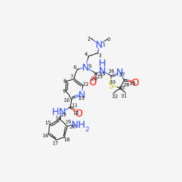 CN(C)CCN(Cc1ccc(C(=O)Nc2ccccc2N)nc1)C(=O)NC1=NC(=O)C(C)(C)S1